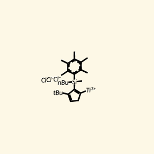 CCCC[Si](C)(C1=[C]([Ti+3])CC=C1C(C)(C)C)c1c(C)c(C)c(C)c(C)c1C.[Cl-].[Cl-].[Cl-]